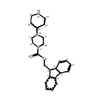 O=C(OCC1c2ccccc2C2C=CC=CC21)N1CCN(C2CCNCC2)CC1